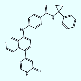 C=C1C(Nc2ccc(C(=O)NC3(c4ccccc4)CC3)cc2)=CC=C(c2cc[nH]c(=O)c2)N1/C=C\C